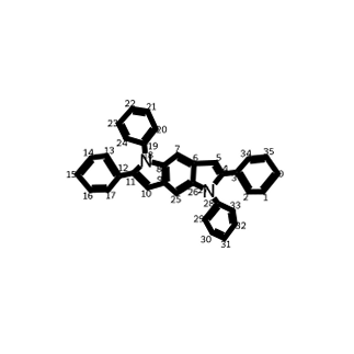 c1ccc(-c2cc3cc4c(cc(-c5ccccc5)n4-c4ccccc4)cc3n2-c2ccccc2)cc1